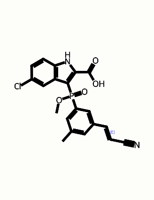 COP(=O)(c1cc(C)cc(/C=C/C#N)c1)c1c(C(=O)O)[nH]c2ccc(Cl)cc12